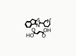 CN1CCCC(c2nc3c(s2)Cc2ccccc2-3)C1.O=C(O)C=CC(=O)O